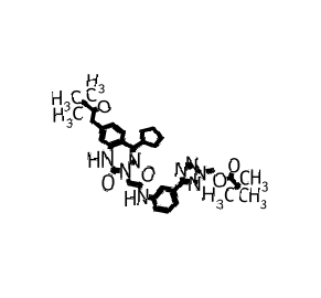 CC(C)(C)C(=O)Cc1ccc2c(c1)NC(=O)N(CC(=O)Nc1cccc(-c3nnn(COC(=O)C(C)(C)C)n3)c1)N=C2C1CCCC1